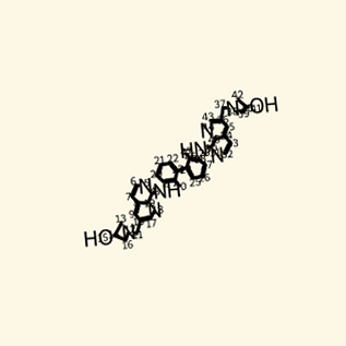 Cc1c(Nc2nccc3cc(CN4CC(O)C4)cnc23)cccc1-c1cccc(Nc2nccc3cc(CN4CC(O)C4)cnc23)c1C